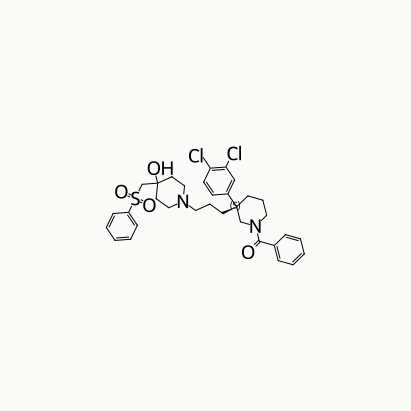 O=C(c1ccccc1)N1CCC[C@@](CCCN2CCC(O)(CS(=O)(=O)c3ccccc3)CC2)(c2ccc(Cl)c(Cl)c2)C1